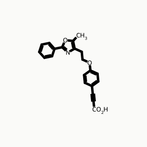 Cc1oc(-c2ccccc2)nc1CCOc1ccc(C#CC(=O)O)cc1